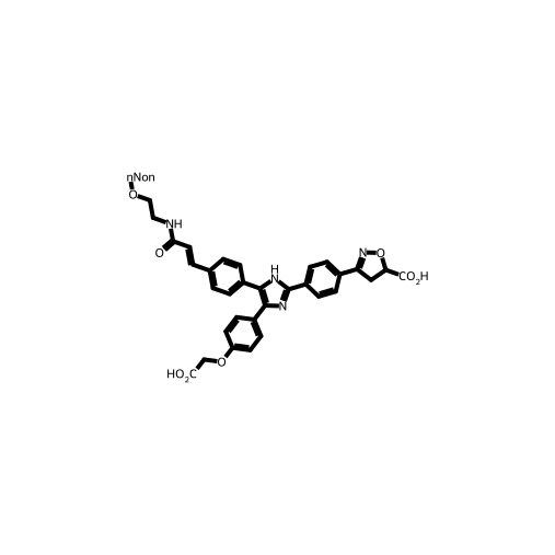 CCCCCCCCCOCCNC(=O)C=Cc1ccc(-c2[nH]c(-c3ccc(C4=NOC(C(=O)O)C4)cc3)nc2-c2ccc(OCC(=O)O)cc2)cc1